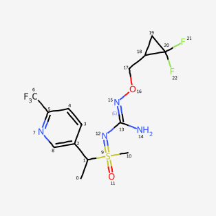 CC(c1ccc(C(F)(F)F)nc1)S(C)(=O)=N/C(N)=N/OCC1CC1(F)F